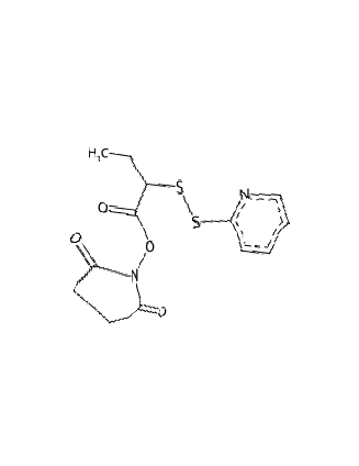 CCC(SSc1ccccn1)C(=O)ON1C(=O)CCC1=O